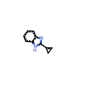 C1=C(c2nc3ccccc3[nH]2)C1